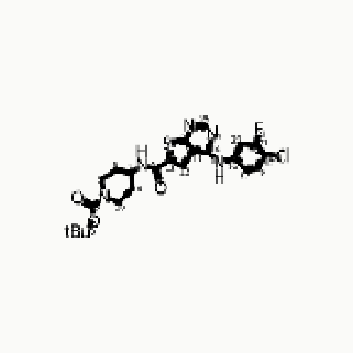 CC(C)(C)OC(=O)N1CCC(NC(=O)c2cc3c(Nc4ccc(Cl)c(F)c4)ncnc3s2)CC1